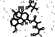 COc1ccc2c3c1O[C@H]1C(OC(=O)C(C)NC(=O)[C@H](C)O)=CC[C@@]4(O)[C@@H](C2)N(C)CC[C@]314.O=C(O)C(F)(F)F